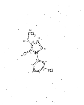 O=c1n(-c2cccc(Cl)c2)cnn1SC(Cl)(Cl)Cl